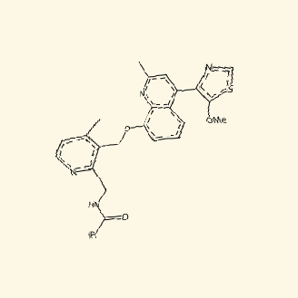 COc1scnc1-c1cc(C)nc2c(OCc3c(C)ccnc3CNC(=O)C(C)C)cccc12